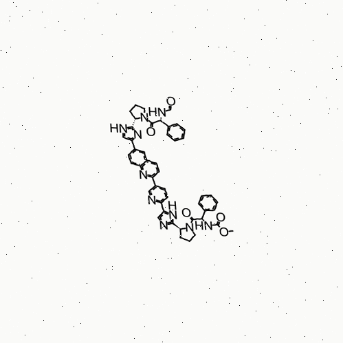 COC(=O)N[C@@H](C(=O)N1CCC[C@H]1c1ncc(-c2ccc(-c3ccc4cc(-c5c[nH]c([C@@H]6CCCN6C(=O)[C@H](NC=O)c6ccccc6)n5)ccc4n3)cn2)[nH]1)c1ccccc1